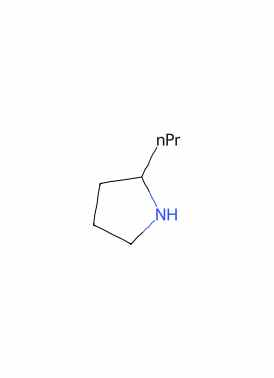 CCCC1CCCN1